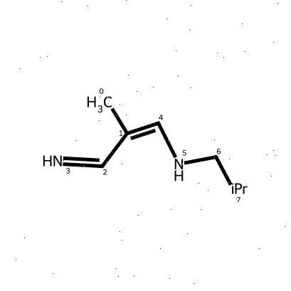 C/C(C=N)=C/NCC(C)C